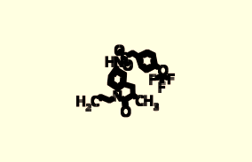 C=CCN1C(=O)C(C)Cc2cc(NS(=O)(=O)Cc3ccc(OC(F)(F)F)cc3)ccc21